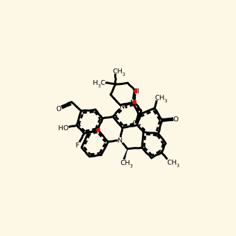 Cc1cc([C@@H](C)N(c2ccccc2)c2ccc(Cl)nc2-c2cc(F)c(O)c(C=O)c2)c2oc(N3CCC(C)(C)CC3)c(C)c(=O)c2c1